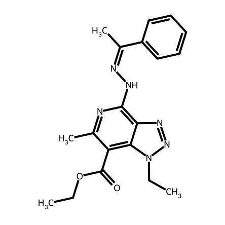 CCOC(=O)c1c(C)nc(NN=C(C)c2ccccc2)c2nnn(CC)c12